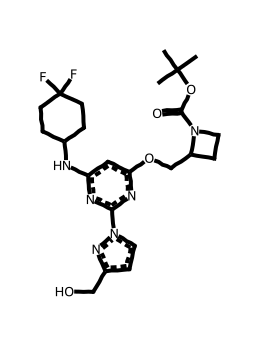 CC(C)(C)OC(=O)N1CCC1COc1cc(NC2CCC(F)(F)CC2)nc(-n2ccc(CO)n2)n1